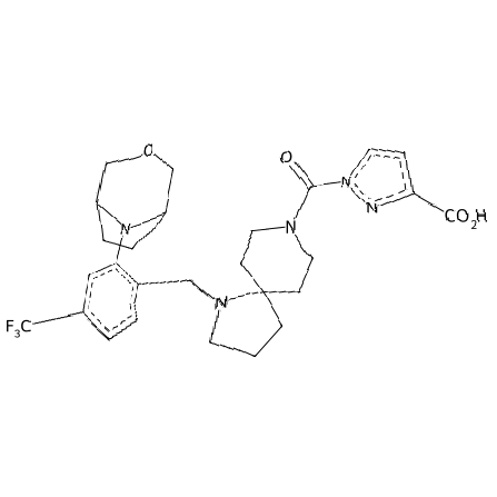 O=C(O)c1ccn(C(=O)N2CCC3(CCCN3Cc3ccc(C(F)(F)F)cc3N3C4CCC3COC4)CC2)n1